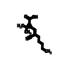 CCCCCC(C#N)=CC1C(C(=O)O)C1(C)C